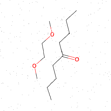 CCCCC(=O)CCCC.COCCOC